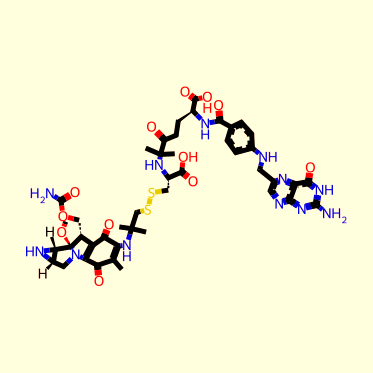 CO[C@@]12[C@H](COC(N)=O)C3=C(C(=O)C(C)=C(NC(C)(C)CSSC[C@H](NC(C)(C)C(=O)CC[C@H](NC(=O)c4ccc(NCc5cnc6nc(N)[nH]c(=O)c6n5)cc4)C(=O)O)C(=O)O)C3=O)N1C[C@@H]1N[C@@H]12